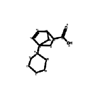 O=C(O)C1CC2(N3CCCCC3)C=CC1C2